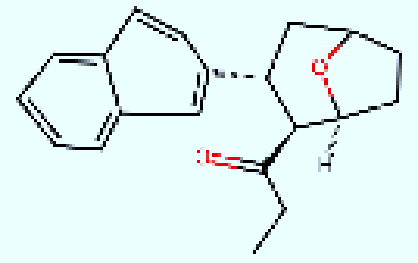 CCC(=O)[C@@H]1[C@@H]2CCC(C[C@H]1c1ccc3ccccc3c1)O2